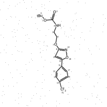 CC(C)(C)OC(=O)NCCOc1cc(-c2ccc(C(F)(F)F)cc2)on1